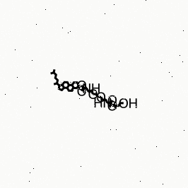 CC(C)CCCC(C)C1CCC2C3CC=C4C[C@@H](OC(=O)NCCOCCOCCNC(=O)OC(C)(C)CCO)CC[C@]4(C)C3CC[C@]12C